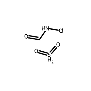 O=CNCl.O=[SH2]=O